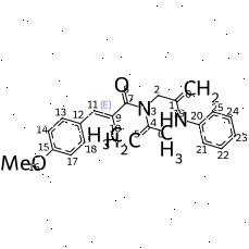 C=C(CN(C(=C)C)C(=O)/C(C)=C/c1ccc(OC)cc1)Nc1ccccc1